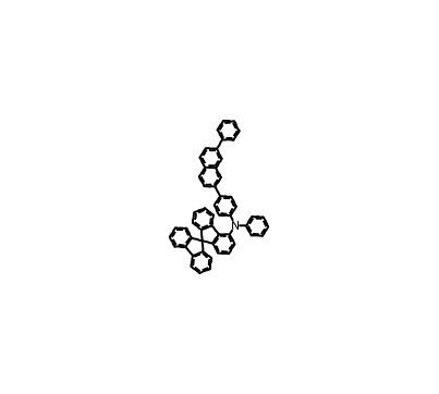 c1ccc(-c2ccc3ccc(-c4ccc(N(c5ccccc5)c5cccc6c5-c5ccccc5C65c6ccccc6-c6ccccc65)cc4)cc3c2)cc1